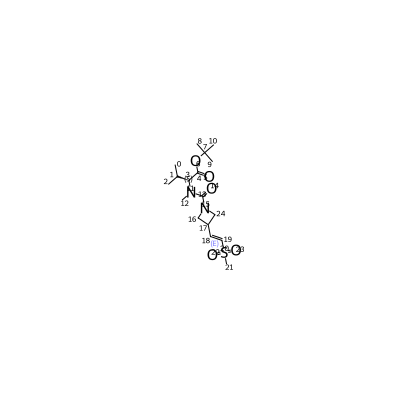 CC(C)[C@@H](C(=O)OC(C)(C)C)N(C)C(=O)N1CC(/C=C/S(C)(=O)=O)C1